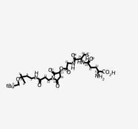 CC(C)(C)COC(C)(C)CCNC(=O)CCN1C(=O)CC(OC(=O)CNC(=O)C(CS)NC(=O)CCC(N)C(=O)O)C1=O